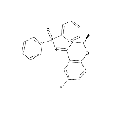 C[C@@H]1CC(=NP(=O)(c2ccccc2)c2ccccc2)c2cc(F)ccc2O1